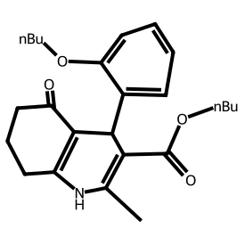 CCCCOC(=O)C1=C(C)NC2=C(C(=O)CCC2)C1c1ccccc1OCCCC